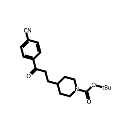 CC(C)(C)OC(=O)N1CCC(CCC(=O)c2ccc(C#N)cc2)CC1